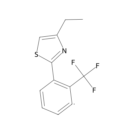 CCc1csc(-c2ccc[c]c2C(F)(F)F)n1